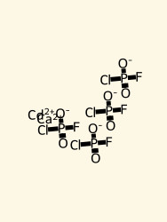 O=P([O-])(F)Cl.O=P([O-])(F)Cl.O=P([O-])(F)Cl.O=P([O-])(F)Cl.[Ca+2].[Cd+2]